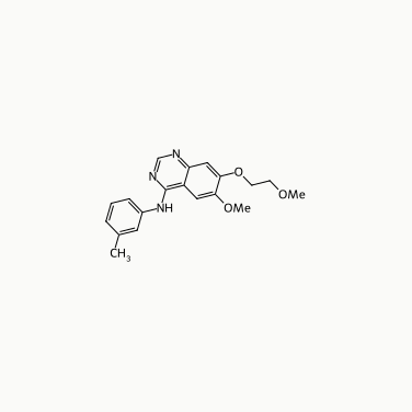 COCCOc1cc2ncnc(Nc3cccc(C)c3)c2cc1OC